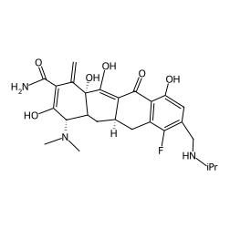 C=C1C(C(N)=O)=C(O)[C@@H](N(C)C)C2C[C@@H]3Cc4c(F)c(CNC(C)C)cc(O)c4C(=O)C3=C(O)[C@]12O